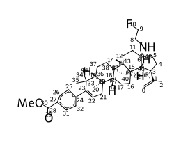 C=C(C)[C@@H]1CC[C@]2(NCCF)CC[C@]3(C)[C@H](CC[C@@H]4[C@@]5(C)CC=C(c6ccc(C(=O)OC)cc6)C(C)(C)[C@@H]5CC[C@]43C)[C@@H]12